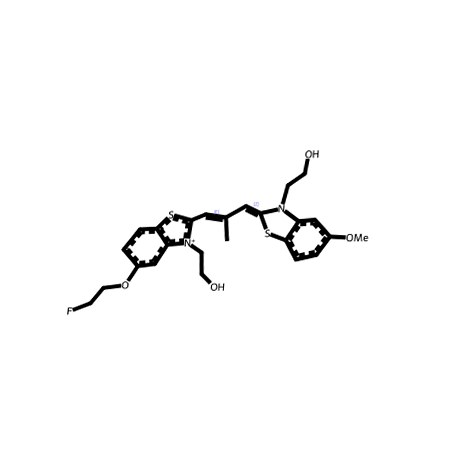 COc1ccc2c(c1)N(CCO)/C(=C/C(C)=C/c1sc3ccc(OCCF)cc3[n+]1CCO)S2